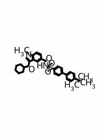 Cn1cc(C(=O)C2CCCCC2)c2cc(C(=O)NS(=O)(=O)c3ccc(-c4ccc(C(C)(C)C)cc4)cc3)ccc21